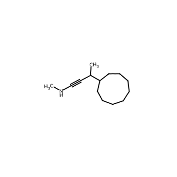 CNC#CC(C)C1CCCCCCCC1